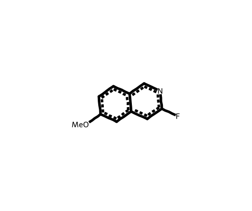 COc1ccc2cnc(F)cc2c1